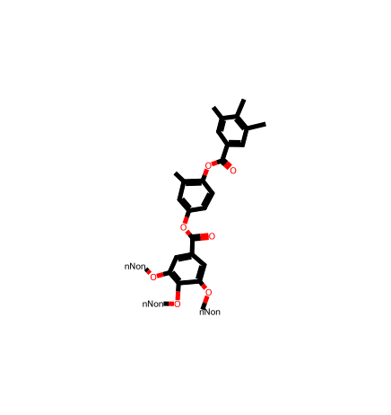 CCCCCCCCCOc1cc(C(=O)Oc2ccc(OC(=O)c3cc(C)c(C)c(C)c3)c(C)c2)cc(OCCCCCCCCC)c1OCCCCCCCCC